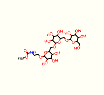 CC(C)(C)OC(=O)NCCOC1OC(COC2OC(COC3OC(CO)C(O)C(O)C3O)C(O)C(O)C2O)C(O)C(O)C1O